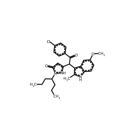 CCCC(CCC)n1[nH]c(C(C(=O)c2ccc(Cl)cc2)c2c(C)[nH]c3ccc(OC)cc23)cc1=O